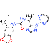 Cc1cc2c(cc1NC(=O)N[C@@H](C)c1ncnn1-c1ncccn1)OCO2